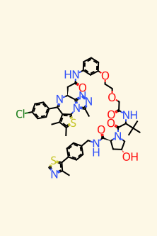 Cc1ncsc1-c1ccc(CNC(=O)[C@@H]2C[C@@H](O)CN2C(=O)C(NC(=O)COCCOc2cccc(NC(=O)C[C@@H]3N=C(c4ccc(Cl)cc4)c4c(sc(C)c4C)-n4c(C)nnc43)c2)C(C)(C)C)cc1